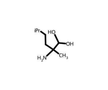 CC(C)CCC(C)(N)C(O)O